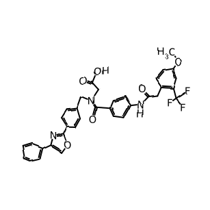 COc1ccc(CC(=O)Nc2ccc(C(=O)N(CC(=O)O)Cc3ccc(-c4nc(-c5ccccc5)co4)cc3)cc2)c(C(F)(F)F)c1